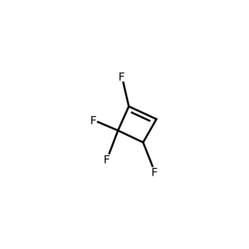 FC1=CC(F)C1(F)F